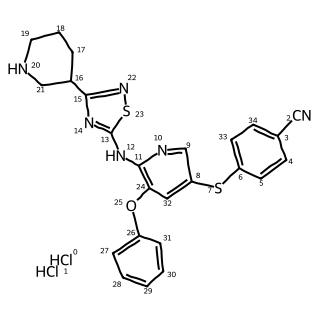 Cl.Cl.N#Cc1ccc(Sc2cnc(Nc3nc(C4CCCNC4)ns3)c(Oc3ccccc3)c2)cc1